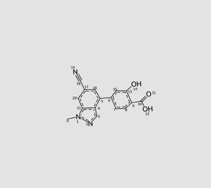 Cn1ncc2c(-c3ccc(C(=O)O)c(O)c3)cc(C#N)cc21